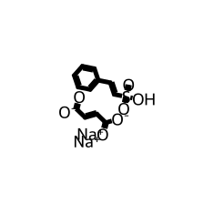 O=C([O-])C=CC(=O)[O-].O=S(=O)(O)C=Cc1ccccc1.[Na+].[Na+]